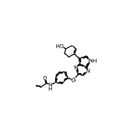 C=CC(=O)Nc1cccc(Oc2cnc3[nH]cc(C4=CCC(O)CC4)c3n2)c1